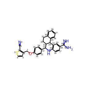 N#Cc1sccc1COc1ccc(C2Nc3ccc(C(=N)N)cc3C3c4ccccc4CCC23)cc1